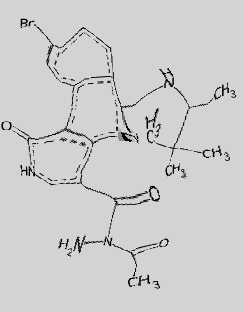 CC(=O)N(N)C(=O)c1c[nH]c(=O)c2c1nc(NC(C)C(C)(C)C)c1ccc(Br)cc12